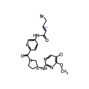 COc1nc(N[C@H]2CCN(C(=O)c3ccc(NC(=O)/C=C/CBr)cn3)C2)ncc1Cl